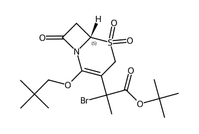 CC(C)(C)COC1=C(C(C)(Br)C(=O)OC(C)(C)C)CS(=O)(=O)[C@H]2CC(=O)N12